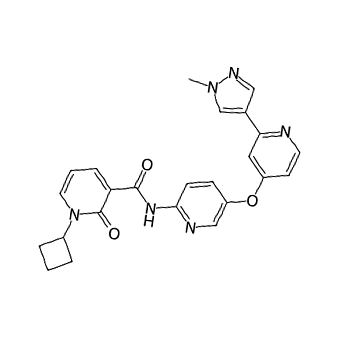 Cn1cc(-c2cc(Oc3ccc(NC(=O)c4cccn(C5CCC5)c4=O)nc3)ccn2)cn1